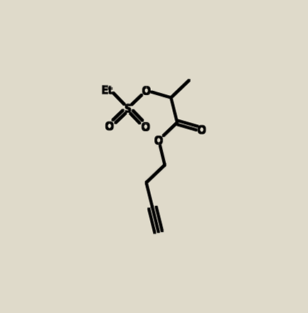 C#CCCOC(=O)C(C)OS(=O)(=O)CC